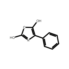 Oc1nc(-c2ccccc2)c(O)o1